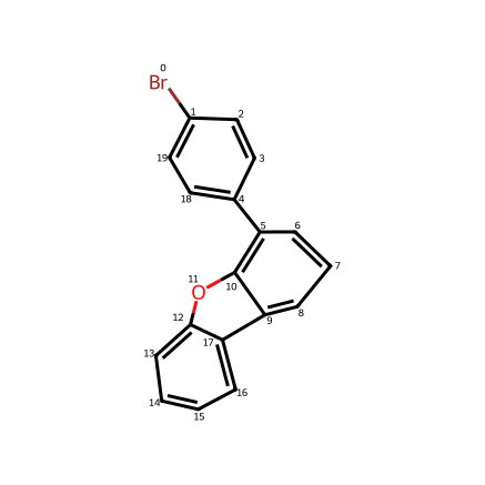 Brc1ccc(-c2cccc3c2oc2ccccc23)cc1